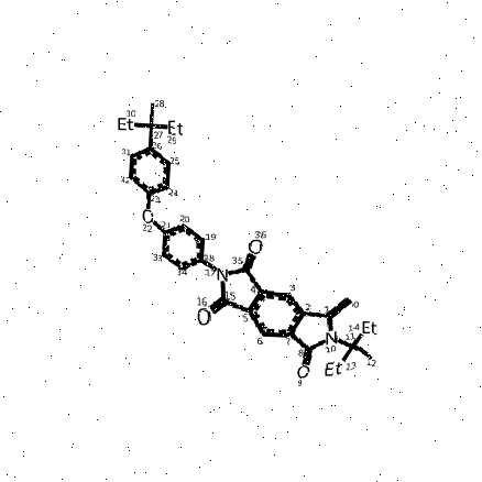 C=C1c2cc3c(cc2C(=O)N1C(C)(CC)CC)C(=O)N(c1ccc(Oc2ccc(C(C)(CC)CC)cc2)cc1)C3=O